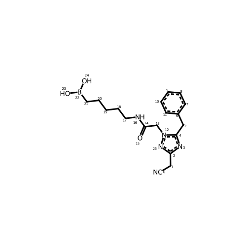 N#CCc1nc(Cc2ccccc2)n(CC(=O)NCCCCCB(O)O)n1